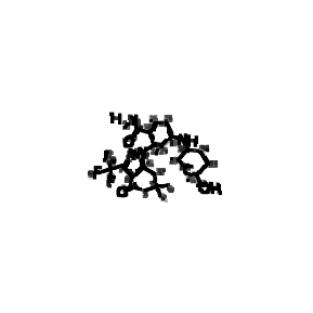 CC1(C)CC(=O)c2c(C(F)(F)F)nn(-c3cc(NC4CCC(O)CC4)ccc3C(N)=O)c2C1